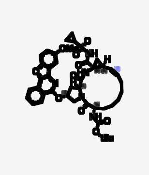 COc1ccc2oc3c4ccccc4c(O[C@@H]4C[C@H]5C(=O)N[C@]6(C(=O)NS(=O)(=O)C7CC7)C[C@H]6/C=C\CCCCC[C@H](NC(=O)OC(C)(C)C)C(=O)N5C4)nc3c2c1